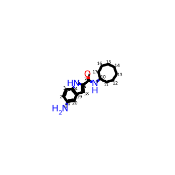 Nc1ccc2[nH]c(C(=O)NC3CCCCCCC3)cc2c1